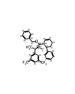 C[C@@H](OC[C@@]1(c2ccccc2)CCC=CN1C(=O)OCc1ccccc1)c1cc(C(F)(F)F)cc(C(F)(F)F)c1